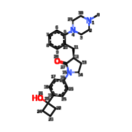 CN1CCN(c2ccccc2C[C@H]2CCN(c3ccc(C4(O)CCC4)cc3)C2=O)CC1